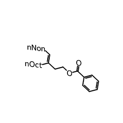 CCCCCCCCCC=C(CCCCCCCC)CCOC(=O)c1ccccc1